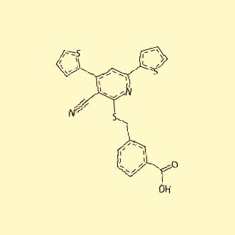 N#Cc1c(-c2cccs2)cc(-c2cccs2)nc1SCc1cccc(C(=O)O)c1